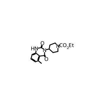 CCOC(=O)N1CCC(n2c(=O)[nH]c3cccc(C)c3c2=O)CC1